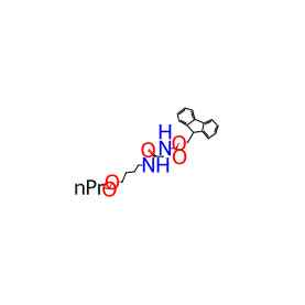 CCCOOCCCCNC(=O)CNC(=O)OCC1c2ccccc2-c2ccccc21